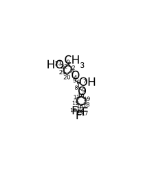 Cc1cc(OCC(O)COc2ccc(C(F)(F)F)cc2)ccc1O